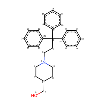 OCC1CCN(CCC(c2ccccc2)(c2ccccc2)c2ccccc2)CC1